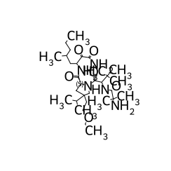 CCCC(C)CC(NC(=O)[C@@H]1CC(CCOCC)(C(C)C)CN1C(=O)C(NC(=O)C(C)(C)N)C(C)(C)C)C(=O)C(N)=O